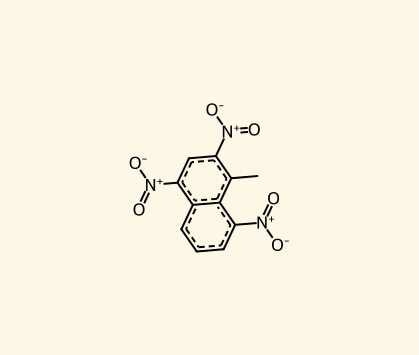 Cc1c([N+](=O)[O-])cc([N+](=O)[O-])c2cccc([N+](=O)[O-])c12